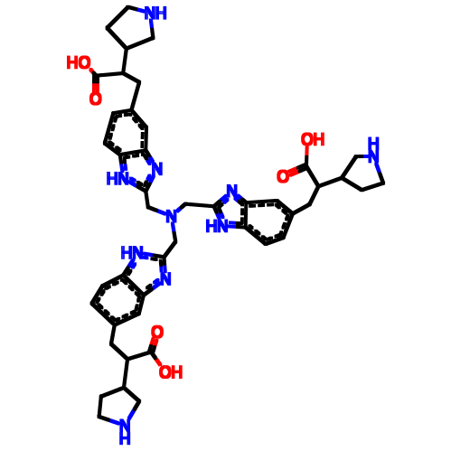 O=C(O)C(Cc1ccc2[nH]c(CN(Cc3nc4cc(CC(C(=O)O)C5CCNC5)ccc4[nH]3)Cc3nc4cc(CC(C(=O)O)C5CCNC5)ccc4[nH]3)nc2c1)C1CCNC1